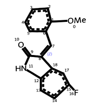 COc1ccccc1/C=C1\C(=O)Nc2ccc(F)cc21